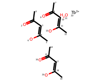 CC(=O)/C=C(/C)[O-].CC(=O)/C=C(/C)[O-].CC(=O)/C=C(/C)[O-].O.[Tb+3]